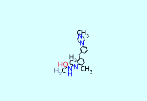 C=C(O)N/C(C)=N/c1cc(Cc2cccc(N3CCN(C)CC3)c2)ccc1C